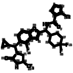 CCn1nccc1C(=O)N[C@H](c1nc2c(F)c([C@H](C3CC3)N3C[C@@H](C(F)(F)F)NC3=O)ccc2o1)C1CCC(F)(F)CC1